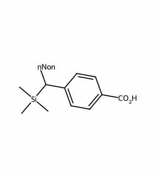 CCCCCCCCCC(c1ccc(C(=O)O)cc1)[Si](C)(C)C